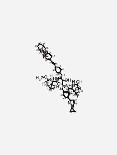 COC(=O)N[C@H](C(=O)N[C@@H](Cc1ccc(C#Cc2ccc(N3CC4CCC(C3)N4C3COC3)nc2)cc1)[C@@H](O)CN(Cc1ccc(-c2ccn(C3CC3)n2)cc1)NC(=O)[C@@H](NC(=O)O)C(C)(C)C(F)(F)F)C(C)(C)C(F)(F)F